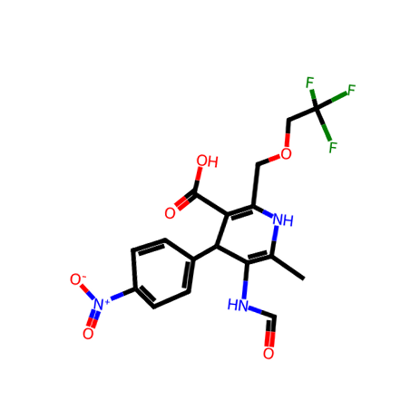 CC1=C(NC=O)C(c2ccc([N+](=O)[O-])cc2)C(C(=O)O)=C(COCC(F)(F)F)N1